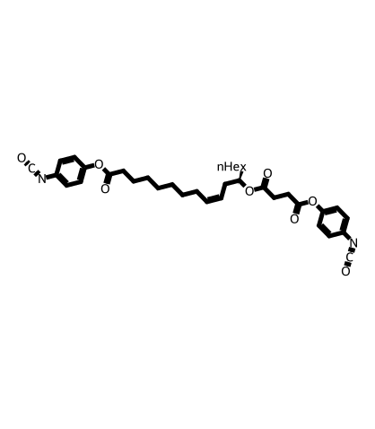 CCCCCC[C@H](C/C=C\CCCCCCCC(=O)Oc1ccc(N=C=O)cc1)OC(=O)CCC(=O)Oc1ccc(N=C=O)cc1